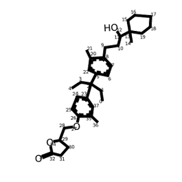 CCC(CC)(c1ccc(CCC(O)C2(C)CCCCC2)c(C)c1)c1ccc(OCC2CCC(=O)O2)c(C)c1